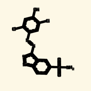 NS(=O)(=O)c1ccc2nsc(/N=N/c3cc(Cl)c(O)cc3Cl)c2c1